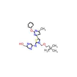 Cc1cc(-c2cn(COCC[Si](C)(C)C)/c(=N/c3cnc(CO)cn3)s2)nc(Oc2ccccc2)n1